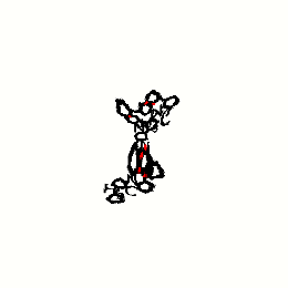 Cc1cccc(-c2ccccc2)c1N(c1cccc(-c2ccccc2)c1)c1ccc2c3cc4c(cc3n3c5ccccc5c1c23)c1ccc(N(c2cccc(-c3ccccc3)c2)c2c(C)cccc2-c2ccccc2)c2c3ccccc3n4c12